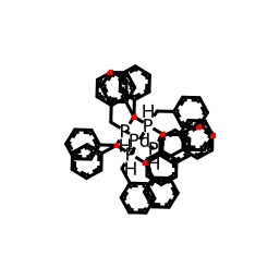 c1ccc(C[PH](Cc2ccccc2)(Cc2ccccc2)[Pd]([PH](Cc2ccccc2)(Cc2ccccc2)Cc2ccccc2)([PH](Cc2ccccc2)(Cc2ccccc2)Cc2ccccc2)[PH](Cc2ccccc2)(Cc2ccccc2)Cc2ccccc2)cc1